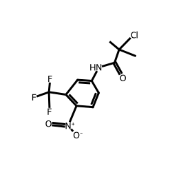 CC(C)(Cl)C(=O)Nc1ccc([N+](=O)[O-])c(C(F)(F)F)c1